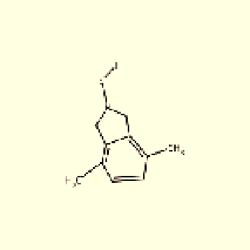 Cc1ccc(C)c2c1CN(SI)C2